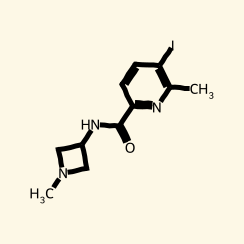 Cc1nc(C(=O)NC2CN(C)C2)ccc1I